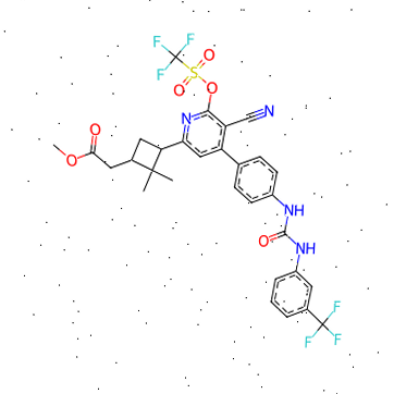 COC(=O)CC1CC(c2cc(-c3ccc(NC(=O)Nc4cccc(C(F)(F)F)c4)cc3)c(C#N)c(OS(=O)(=O)C(F)(F)F)n2)C1(C)C